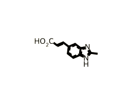 Cc1nc2cc(/C=C/C(=O)O)ccc2[nH]1